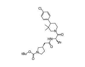 CC(C)[C@@H](NC(=O)C[C@H]1CCN(C(=O)OC(C)(C)C)C1)C(=O)N1CCC(c2ccc(Cl)cc2)C(C)(C)C1